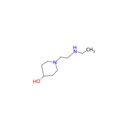 CCNCCN1CCC(O)CC1